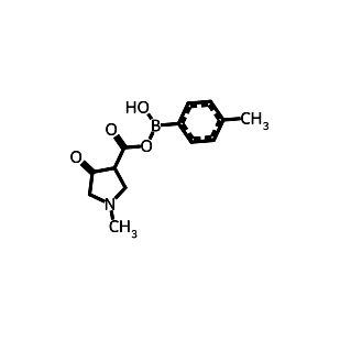 Cc1ccc(B(O)OC(=O)C2CN(C)CC2=O)cc1